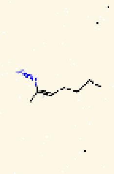 CCCC/C=C(/C)N=N